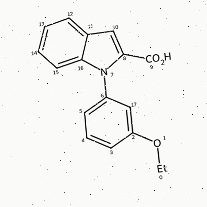 CCOc1cccc(-n2c(C(=O)O)cc3ccccc32)c1